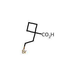 O=C(O)C1(CCBr)CCC1